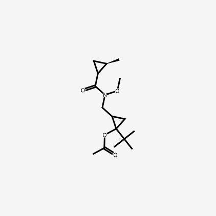 CON(CC1CC1(OC(C)=O)C(C)(C)C)C(=O)C1C[C@H]1C